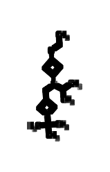 CCO[C@H]1C[C@H](N(CC2CN(C(C)(C)C)C2)C(C)C)C1